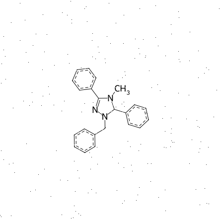 CN1C(c2ccccc2)=NN(Cc2ccccc2)C1c1ccccc1